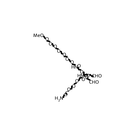 COCCOCCOCCOCCOCCOCCOCCOCCNC(=O)CCOCC(COCCC=O)(COCCC=O)NC(=O)CCOCCOCCOCCOCCN